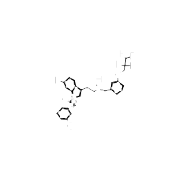 O=S(=O)(c1cccc(Cl)c1)n1cc(CCNCc2cccc(OCC(F)(F)C(F)F)c2)c2ccc(F)cc21